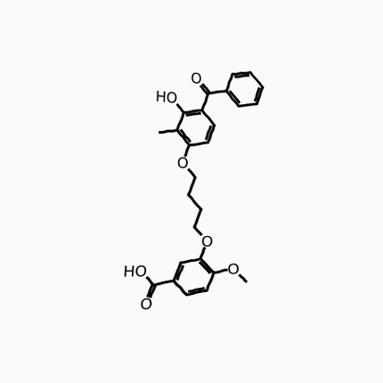 COc1ccc(C(=O)O)cc1OCCCCOc1ccc(C(=O)c2ccccc2)c(O)c1C